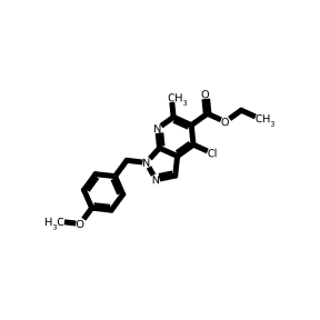 CCOC(=O)c1c(C)nc2c(cnn2Cc2ccc(OC)cc2)c1Cl